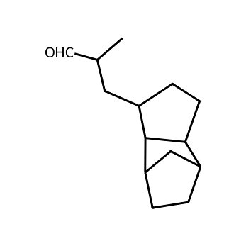 CC(C=O)CC1CCC2C3CCC(C3)C12